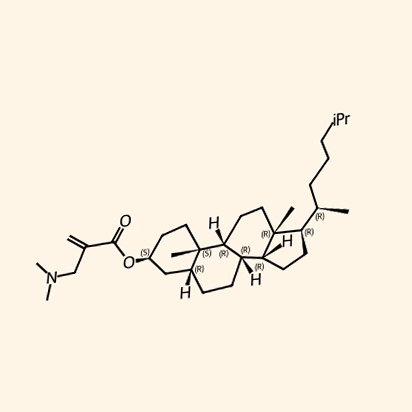 C=C(CN(C)C)C(=O)O[C@H]1CC[C@@]2(C)[C@H](CC[C@H]3[C@H]4CC[C@H]([C@H](C)CCCC(C)C)[C@@]4(C)CC[C@H]32)C1